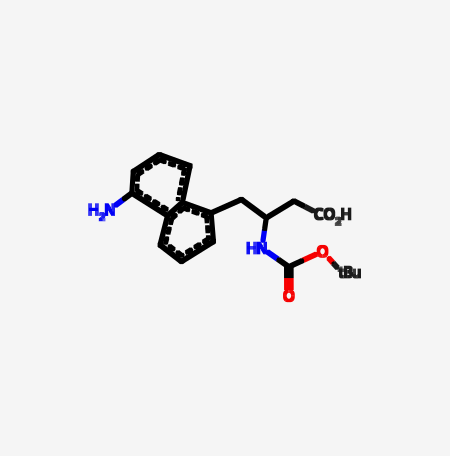 CC(C)(C)OC(=O)NC(CC(=O)O)Cc1cccc2c(N)cccc12